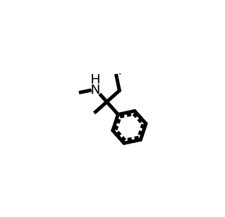 [CH2]CC(C)(NC)c1ccccc1